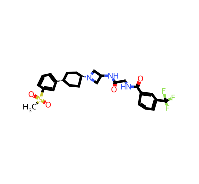 CS(=O)(=O)c1cccc([C@H]2CC[C@@H](N3CC(NC(=O)CNC(=O)c4cccc(C(F)(F)F)c4)C3)CC2)c1